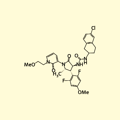 COCCn1cccc(N2C(=O)[C@@H](NC(=O)NC3CCc4cc(Cl)ccc4C3)[C@H](c3c(F)cc(OC)cc3F)[C@@H]2C)c1=O